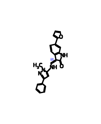 Cn1nc(-c2ccccc2)cc1N/C=C1\C(=O)Nc2cc(-c3ccco3)ccc21